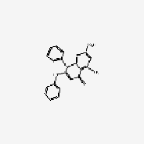 O=C(O)c1cc(C(F)(F)F)c2c(=O)cc(Nc3ccccc3)n(-c3ccccc3)c2n1